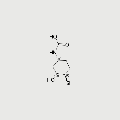 O=C(O)N[C@@H]1CC[C@@H](S)[C@H](O)C1